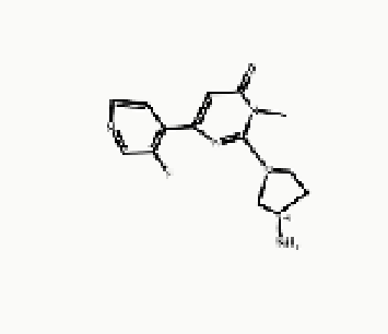 Cn1c(N2CC[C@@H](N)C2)nc(-c2ccncc2F)cc1=O